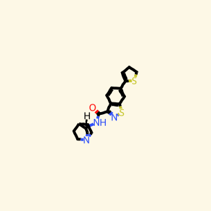 O=C(N[C@@H]1CN2CCC1CC2)c1nsc2cc(C3=CCCS3)ccc12